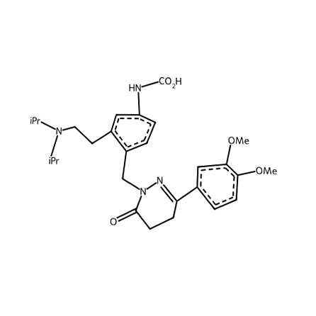 COc1ccc(C2=NN(Cc3ccc(NC(=O)O)cc3CCN(C(C)C)C(C)C)C(=O)CC2)cc1OC